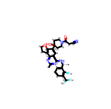 Cc1nc(N[C@H](C)c2cccc(C(F)F)c2F)c2cc(C3(O)CCN(C(=O)CC#N)CC3)c3c(c2n1)CCO3